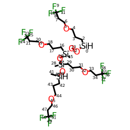 C[SiH](CCCOCCC(F)(F)F)OO[Si](C)(CCCOCCC(F)(F)F)O[Si](C)(CCCOCCC(F)(F)F)O[SiH](C)CCCOCCC(F)(F)F